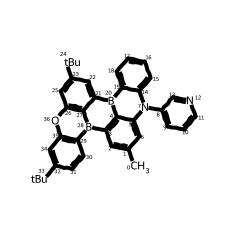 Cc1cc2c3c(c1)N(c1cccnc1)c1ccccc1B3c1cc(C(C)(C)C)cc3c1B2c1ccc(C(C)(C)C)cc1O3